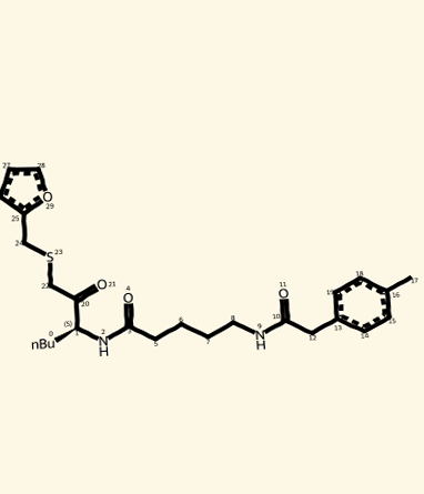 CCCC[C@H](NC(=O)CCCCNC(=O)Cc1ccc(C)cc1)C(=O)CSCc1ccco1